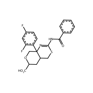 O=C(NC1=NC2(c3ccc(F)cc3F)COC(C(=O)O)CC2CS1)c1ccccc1